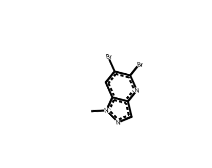 Cn1ncc2nc(Br)c(Br)cc21